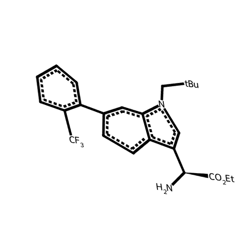 CCOC(=O)[C@@H](N)c1cn(CC(C)(C)C)c2cc(-c3ccccc3C(F)(F)F)ccc12